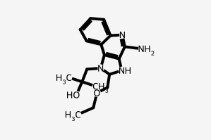 CCOCC1Nc2c(N)nc3ccccc3c2N1CC(C)(C)O